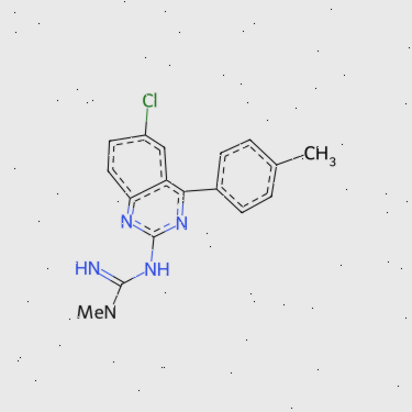 CNC(=N)Nc1nc(-c2ccc(C)cc2)c2cc(Cl)ccc2n1